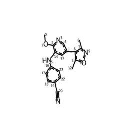 COc1ncc(-c2c(C)noc2C)cc1Nc1ccc(C#N)cc1